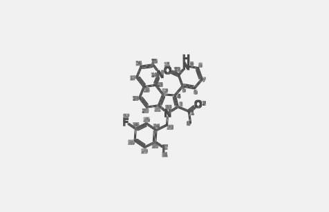 CC(=O)c1c(-c2ccc[nH]c2=O)c2c3ncccc3ccc2n1Cc1cc(F)ccc1F